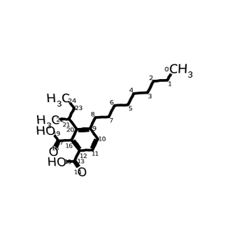 CCCCCCCCCc1ccc(C(=O)O)c(C(=O)O)c1C(C)CC